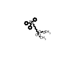 CCOC(=O)C(CCCCCCn1c(-c2ccccc2)nc(-c2ccccc2)c1-c1ccccc1)OCCOC